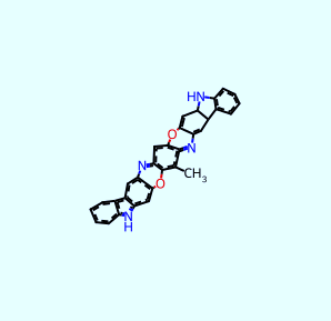 Cc1c2c(cc3c1=NC1=CC4c5ccccc5NC4C=C1O3)=Nc1cc3c(cc1O2)[nH]c1ccccc13